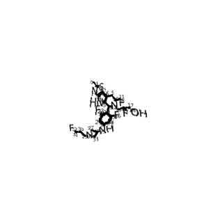 Cc1nc2[nH]c3c(c2s1)CC(C)N(CC(F)(F)CO)C3c1c(F)cc(NC2CN(CCCF)C2)cc1F